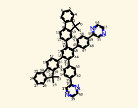 CC1(C)c2ccccc2-c2ccc(-c3cc(-c4ccc5c(c4)C(C)(C)c4ccccc4-5)c(-c4ccc(-c5cnccn5)cc4)cc3-c3ccc(-c4cnccn4)cc3)cc21